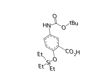 CC[Si](CC)(CC)Oc1ccc(NC(=O)OC(C)(C)C)cc1C(=O)O